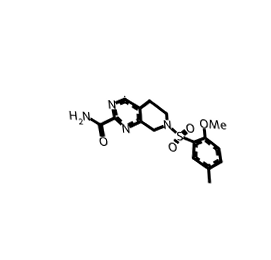 COc1ccc(C)cc1S(=O)(=O)N1CCc2[c]nc(C(N)=O)nc2C1